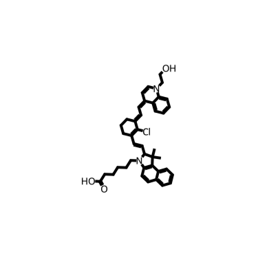 CC1(C)c2c(ccc3ccccc23)N(CCCCCC(=O)O)C1/C=C/C1=C(Cl)C(=C/C=C2/C=CN(CCO)c3ccccc32)/CCC1